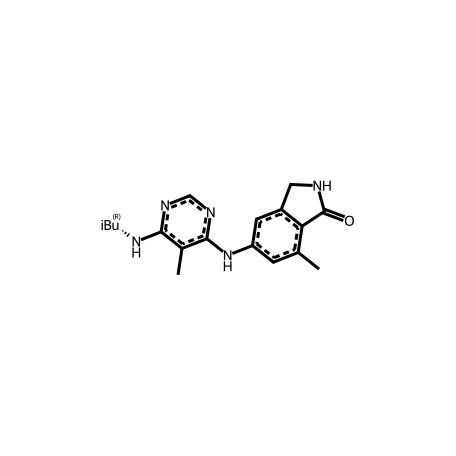 CC[C@@H](C)Nc1ncnc(Nc2cc(C)c3c(c2)CNC3=O)c1C